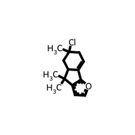 CC1(Cl)CC=C2c3occc3C(C)(C)C2C1